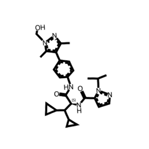 Cc1nn(CO)c(C)c1-c1ccc(NC(=O)[C@@H](NC(=O)c2ccnn2C(C)C)C(C2CC2)C2CC2)cc1